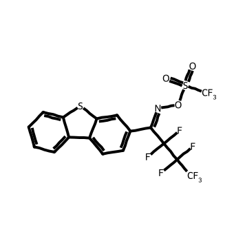 O=S(=O)(ON=C(c1ccc2c(c1)sc1ccccc12)C(F)(F)C(F)(F)C(F)(F)F)C(F)(F)F